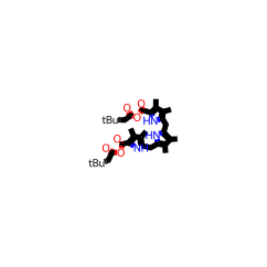 Cc1c(Cc2[nH]c(C(=O)OC(=O)CC(C)(C)C)c(C)c2C)[nH]c(Cc2[nH]c(C(=O)OC(=O)CC(C)(C)C)c(C)c2C)c1C